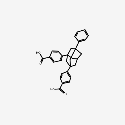 O=C(O)c1ccc(C23CC4CC(c5ccccc5)(C2)CC(c2ccc(C(=O)O)cc2)(C4)C3)cc1